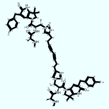 CN[C@@H](C)C(=O)N[C@H](C(=O)N1CC(C)(C)c2[nH]c(=O)c(Cc3ccc(F)cc3)cc21)[C@H](C)n1cc(CCC#CC#CCCc2cn([C@@H](C)[C@H](NC(=O)[C@H](C)NC)C(=O)N3CC(C)(C)c4[nH]c(=O)c(Cc5ccc(F)cc5)cc43)nn2)nn1